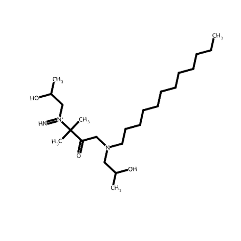 CCCCCCCCCCCCN(CC(=O)C(C)(C)[N+](=N)CC(C)O)CC(C)O